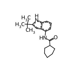 CC(C)(C)c1cc2c(NC(=O)C3CCCCC3)cccc2[nH]1